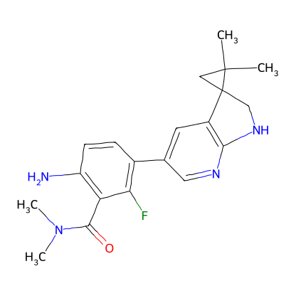 CN(C)C(=O)c1c(N)ccc(-c2cnc3c(c2)C2(CN3)CC2(C)C)c1F